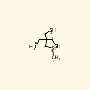 CCC(CS)(CS)CSC